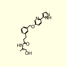 C[C@H](CO)NC(=O)CCc1cccc(COc2ccc(-c3ccn[nH]3)nc2)c1